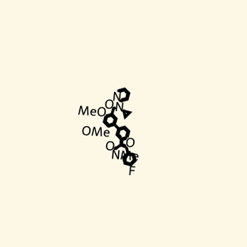 CNC(=O)c1c(-c2ccc(F)cc2)oc2ccc(-c3cc(C(=O)N(c4ccccn4)C4CC4)c(OC)cc3OC)cc12